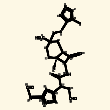 Cn1nnnc1SCC1(C(=O)O)CS[C@@H]2C(NC(=O)C(OC=O)c3c[nH]c(=NC=O)s3)C(=O)N2C1